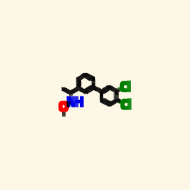 CONC(C)c1cccc(-c2ccc(Cl)c(Cl)c2)c1